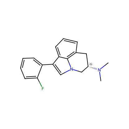 CN(C)[C@H]1Cc2cccc3c(-c4ccccc4F)cn(c23)C1